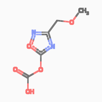 COCc1noc(OC(=O)O)n1